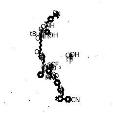 Cc1ncsc1-c1ccc([C@H](C)NC(=O)[C@@H]2C[C@@H](O)CN2C(=O)[C@@H](NC(=O)CCCCCC(=O)N2CCN(CC[C@H](CSc3ccccc3)Nc3ccc(S(=O)(=O)NC(=O)c4ccc(N5CCN(CC6=C(c7ccc(C#N)cc7)CCC(C)(C)C6)CC5)cc4)cc3S(=O)(=O)C(F)(F)F)CC2)C(C)(C)C)cc1.O=C(O)C(F)(F)F